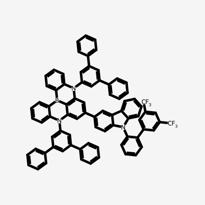 FC(F)(F)c1cc(-c2ccccc2-n2c3ccccc3c3cc(-c4cc5c6c(c4)N(c4cc(-c7ccccc7)cc(-c7ccccc7)c4)c4ccccc4B6c4ccccc4N5c4cc(-c5ccccc5)cc(-c5ccccc5)c4)ccc32)cc(C(F)(F)F)c1